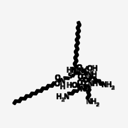 CCCCCCCCCCCCCCCCOC(=O)NCCSC[C@@H](NC(=O)CCCCCCCCCCCCCCC)C(=O)N[C@H](CO)C(=O)N[C@@H](CCCCN)C(=O)N[C@@H](CCCCN)C(=O)N[C@@H](CCCCN)C(=O)O